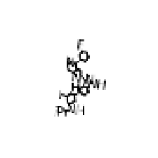 CC(C)Nc1cc(I)cc(-c2ccc3[nH]nc(-c4cc5c(-c6cccc(F)c6)nccc5[nH]4)c3c2)c1